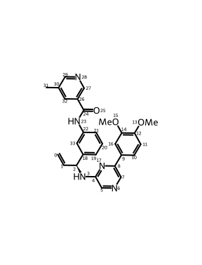 C=C[C@H](Nc1cncc(-c2ccc(OC)c(OC)c2)n1)c1cccc(NC(=O)c2cncc(C)c2)c1